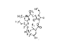 C#CCN1CC(=O)N(COC(=O)C2C(C=C(C)C)C2(C)C)C1=O.CCOP(=S)(OCC)Oc1cc(C)nc(C(C)C)n1